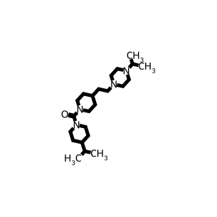 CC(C)C1CCN(C(=O)N2CCC(CCN3CCN(C(C)C)CC3)CC2)CC1